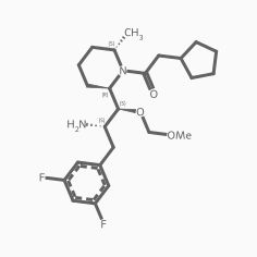 COCO[C@H]([C@H]1CCC[C@H](C)N1C(=O)CC1CCCC1)[C@@H](N)Cc1cc(F)cc(F)c1